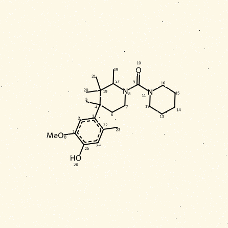 COc1cc(C2(C)CCN(C(=O)N3CCCCC3)C(C)C2(C)C)c(C)cc1O